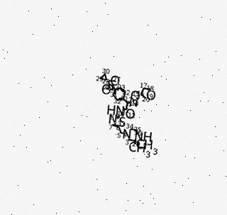 CC1(C)CN(Cc2cnc(NC(=O)/C(=N/O[C@@H]3CCOC3)c3ccc(S(=O)(=O)C4CC4)cc3)s2)CCN1